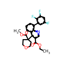 CCOC(=O)c1cnc2c(-c3cc(F)cc(F)c3F)cccc2c1C1(C(=O)OC)CCOCC1